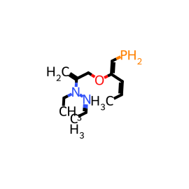 C=C(COC(/C=C\C)=C/P)N(CC)/N=C\C